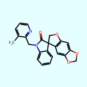 O=C1N(Cc2ncccc2C(F)(F)F)c2ccccc2C12COc1cc3c(cc12)OCO3